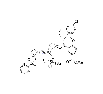 COC(=O)c1ccc2c(c1)N(C[C@@H]1CC[C@H]1[C@H](/C=C/[C@H]1CC[C@@H]1CS(=O)(=O)c1ncccn1)O[Si](C)(C)C(C)(C)C)CC1(CCCc3cc(Cl)ccc31)CO2